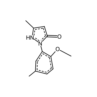 COc1ccc(C)cc1-n1[nH]c(C)cc1=O